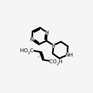 O=C(O)/C=C/C(=O)O.c1cnc(N2CCNCC2)cn1